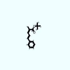 CC(=CC=Cc1ccccc1)C(=O)OC(C)(C)C